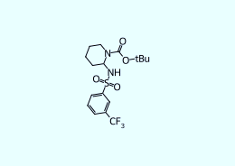 CC(C)(C)OC(=O)N1CCCCC1NS(=O)(=O)c1cccc(C(F)(F)F)c1